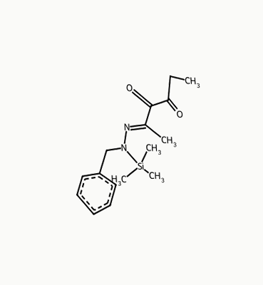 CCC(=O)C(=O)/C(C)=N/N(Cc1ccccc1)[Si](C)(C)C